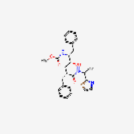 CC(C)[C@H](NC(=O)[C@H](Cc1ccccc1)C[C@H](O)[C@H](Cc1ccccc1)NC(=O)OC(C)(C)C)c1nccs1